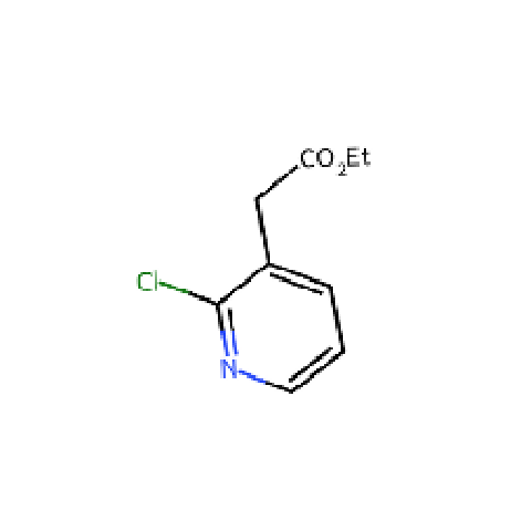 CCOC(=O)Cc1cccnc1Cl